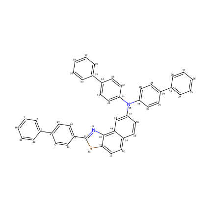 c1ccc(-c2ccc(-c3nc4c(ccc5ccc(N(c6ccc(-c7ccccc7)cc6)c6ccc(-c7ccccc7)cc6)cc54)s3)cc2)cc1